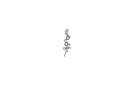 CCCCOC(=O)Nc1ccc(Oc2ccnc(N3CC(C)(OC)C3)c2)cc1F